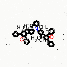 Cc1cccc(C)c1N(c1ccc2c(c1)C(C)(C)c1cc(-c3ccccc3)c3oc4ccccc4c3c1-2)c1ccc2c(c1)C(C)(C)c1cc(-c3ccccc3)c3oc4ccccc4c3c1-2